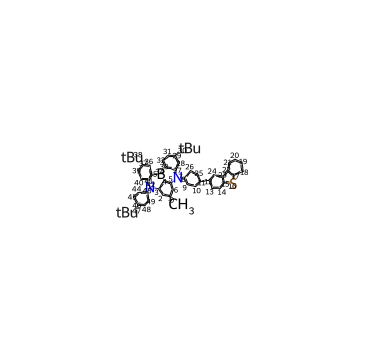 Cc1cc2c3c(c1)N(c1ccc(-c4ccc5sc6ccccc6c5c4)cc1)c1cc(C(C)(C)C)ccc1B3c1cc(C(C)(C)C)ccc1N2c1ccc(C(C)(C)C)cc1